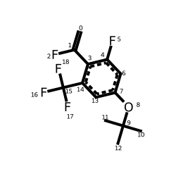 C=C(F)c1c(F)cc(OC(C)(C)C)cc1C(F)(F)F